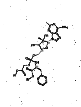 COc1nc(C)nc2c1ncn2[C@@H]1O[C@H](COP(=O)(N[C@@H](Cc2ccccc2)C(=O)OC(C)C)OCC(=O)OC(C)C)C(O)[C@]1(C)O